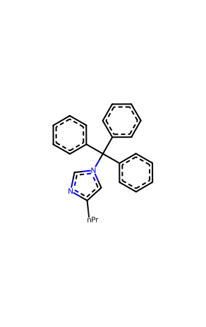 [CH2]CCc1cn(C(c2ccccc2)(c2ccccc2)c2ccccc2)cn1